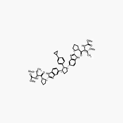 COC(=O)N[C@H](C(=O)N1CCC[C@H]1c1nc2cc([C@@H]3CC[C@@H](c4ccc5[nH]c([C@@H]6CCCN6C(=O)[C@@H](NC(=O)OC)[C@@H](C)OC)nc5c4)N3c3ccc(C4CC4)cc3)ccc2[nH]1)[C@@H](C)OC